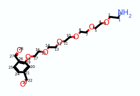 NCCOCCOCCOCCOCCOCCOc1cc(C=O)ccc1C=O